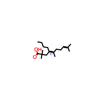 CCCC/C(CC(C)(C)C(=O)O)=C(/C)CCC=C(C)C